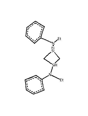 CCN(c1ccccc1)[SiH]1C[SiH](N(CC)c2ccccc2)C1